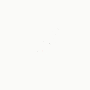 CCC(C)(C)C(=O)OC1C2CC3CC1CC(C2)C3OC(C)(C)c1ccc(-c2ccccc2)cc1